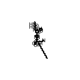 CCCCCCCCCCCCCCC(CCC#N)C(OP(=O)(O)O)C(C)(C)c1ncc(-c2cc3nc(NC(=O)NCC)[nH]c3c([C@H]3CCCO3)c2F)cn1